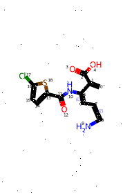 C=C(C(=O)O)/C(=C\C=C/N)NC(=O)c1ccc(Cl)s1